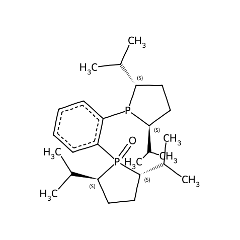 CC(C)[C@@H]1CC[C@@H](C(C)C)P1c1ccccc1P1(=O)[C@H](C(C)C)CC[C@H]1C(C)C